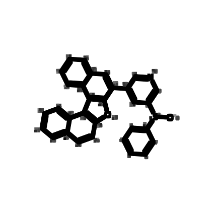 [O-][S+](c1ccccc1)c1cncc(-c2cc3ccccc3c3c2oc2ccc4ccccc4c23)c1